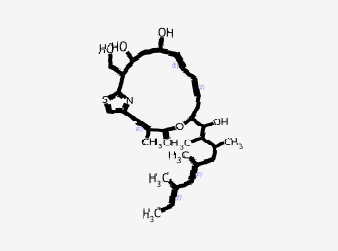 C/C=C(C)/C=C(\C)CC(C)C(C)C(O)C1C/C=C\C=C\C(O)CC(O)C(CO)c2nc(cs2)/C=C(\C)C(=O)O1